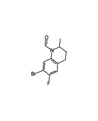 CC1CCc2cc(F)c(Br)cc2N1C=O